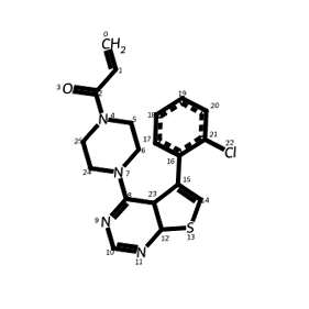 C=CC(=O)N1CCN(C2=NC=NC3SC=C(c4ccccc4Cl)C23)CC1